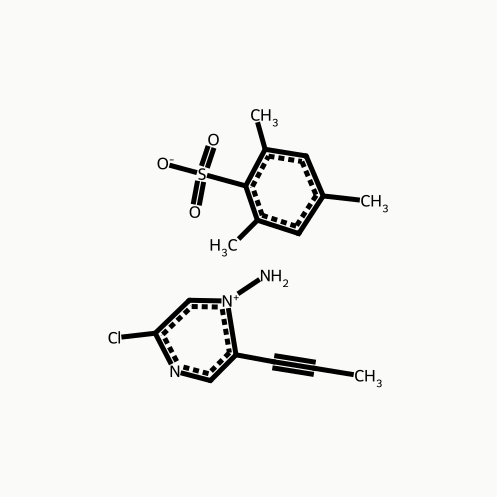 CC#Cc1cnc(Cl)c[n+]1N.Cc1cc(C)c(S(=O)(=O)[O-])c(C)c1